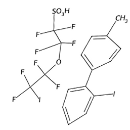 Cc1ccc(-c2ccccc2I)cc1.O=S(=O)(O)C(F)(F)C(F)(F)OC(F)(F)C(F)(F)I